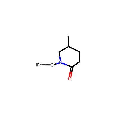 CC(C)CN1CC(C)CCC1=O